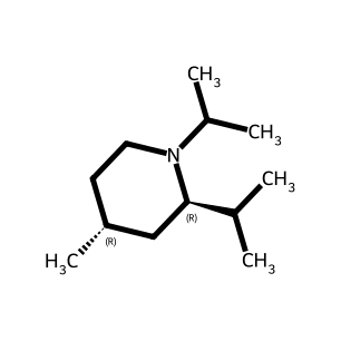 CC(C)[C@H]1C[C@H](C)CCN1C(C)C